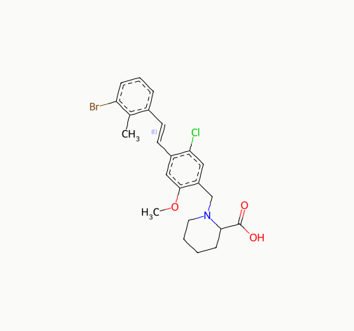 COc1cc(/C=C/c2cccc(Br)c2C)c(Cl)cc1CN1CCCCC1C(=O)O